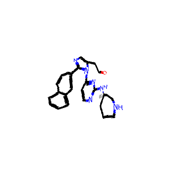 O=CCc1cnc(-c2ccc3ccccc3c2)n1-c1ccnc(N[C@H]2CCCNC2)n1